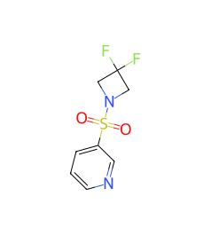 O=S(=O)(c1cccnc1)N1CC(F)(F)C1